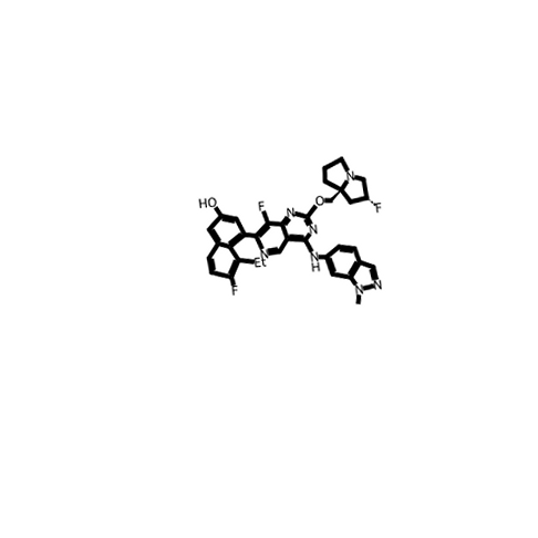 CCc1c(F)ccc2cc(O)cc(-c3ncc4c(Nc5ccc6cnn(C)c6c5)nc(OC[C@@]56CCCN5C[C@H](F)C6)nc4c3F)c12